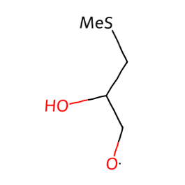 CSCC(O)C[O]